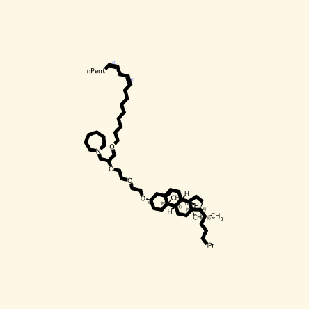 CCCCC/C=C\C/C=C\CCCCCCCCOCC(CN1CCCCCC1)OCCOCCO[C@H]1CC[C@@]2(C)C(=CC[C@H]3[C@@H]4CC[C@H]([C@H](C)CCCC(C)C)[C@@]4(C)CC[C@@H]32)C1